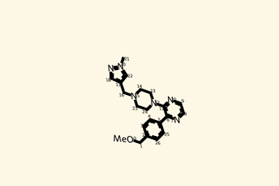 COCc1ccc(-c2nccnc2N2CCN(Cc3cnn(C)c3)CC2)cc1